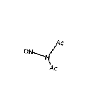 CC(=O)N(N=O)C(C)=O